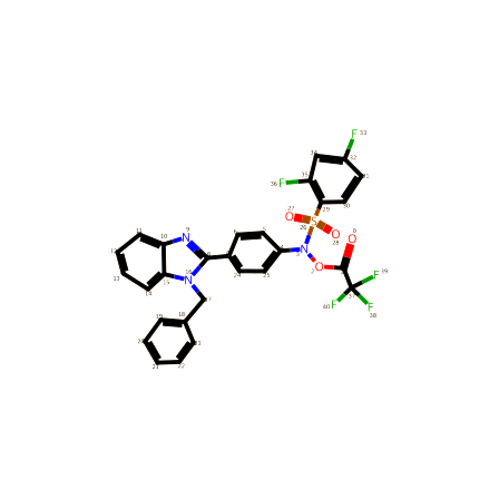 O=C(ON(c1ccc(-c2nc3ccccc3n2Cc2ccccc2)cc1)S(=O)(=O)c1ccc(F)cc1F)C(F)(F)F